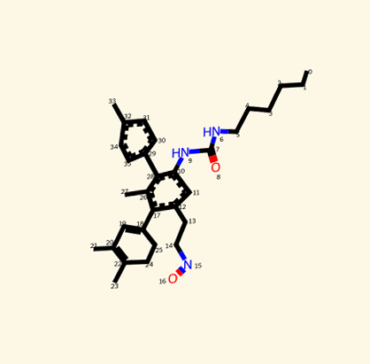 CCCCCCNC(=O)Nc1cc(CCN=O)c(C2=CC(C)=C(C)CC2)c(C)c1-c1ccc(C)cc1